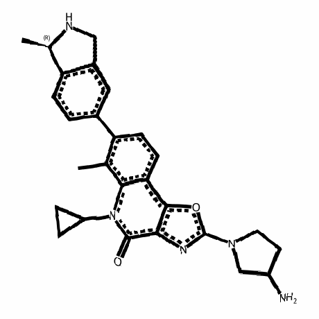 Cc1c(-c2ccc3c(c2)CN[C@@H]3C)ccc2c3oc(N4CCC(N)C4)nc3c(=O)n(C3CC3)c12